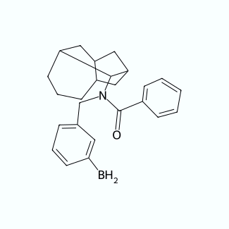 Bc1cccc(CN(C(=O)c2ccccc2)C2C3CCCC4CC2CC4C3)c1